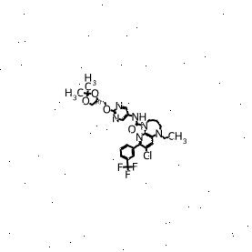 CCN1CCCN(C(=O)Nc2cnc(OC[C@@H]3COC(C)(C)O3)nc2)c2nc(-c3cccc(C(F)(F)F)c3)c(Cl)cc21